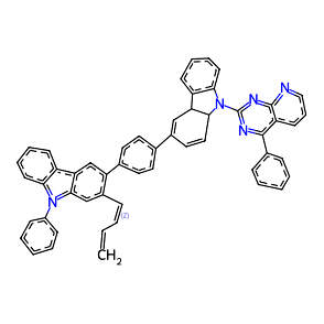 C=C/C=C\c1cc2c(cc1-c1ccc(C3=CC4c5ccccc5N(c5nc(-c6ccccc6)c6cccnc6n5)C4C=C3)cc1)c1ccccc1n2-c1ccccc1